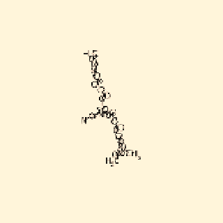 C=CC(=O)COCOc1ccc(OC(=O)C2CCC(C(=O)OCCc3ccc(OC(=O)C4CCC(C(=O)Oc5ccc(OCC(COC(=O)C=C)OC(=O)C=C)cc5)CC4)c4nc(-c5ccc(C#N)cc5)sc34)CC2)cc1